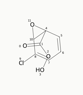 O=C(OO)C12C=CC=C(Cl)C1O2